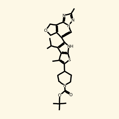 Cc1nc2c3c(c(-c4[nH]c5sc(C6CCN(C(=O)OC(C)(C)C)CC6)c(C)c5c4C(C)C)cn2n1)COC3